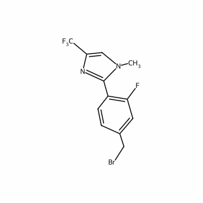 Cn1cc(C(F)(F)F)nc1-c1ccc(CBr)cc1F